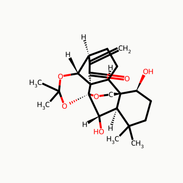 C=C1C(=O)[C@@]23[C@@H]4OC(C)(C)O[C@@]25OC[C@@]2([C@H]([C@@H]5O)C(C)(C)CC[C@@H]2O)[C@@H]3CC[C@@H]14